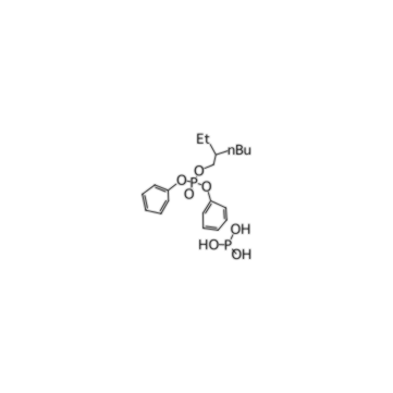 CCCCC(CC)COP(=O)(Oc1ccccc1)Oc1ccccc1.OP(O)O